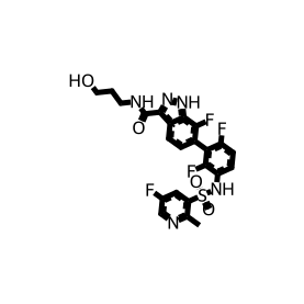 Cc1ncc(F)cc1S(=O)(=O)Nc1ccc(F)c(-c2ccc3c(C(=O)NCCCO)n[nH]c3c2F)c1F